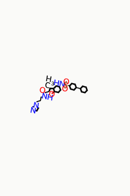 Cc1c(C(=O)NCCCn2ccnc2)oc2ccc(NS(=O)(=O)c3ccc(-c4ccccc4)cc3)cc12